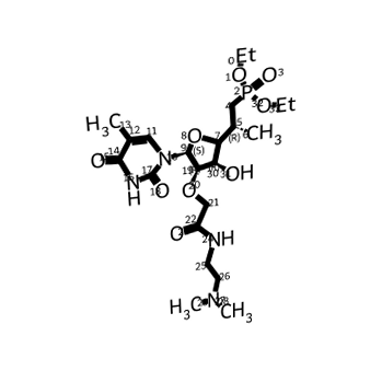 CCOP(=O)(C[C@H](C)C1O[C@H](n2cc(C)c(=O)[nH]c2=O)[C@H](OCC(=O)NCCN(C)C)[C@@H]1O)OCC